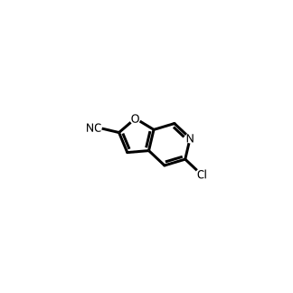 N#Cc1cc2cc(Cl)ncc2o1